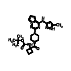 Cc1cc(Nc2nc(N3CCN(C(=O)C4(NC(=O)OC(C)(C)C)CCC4)CC3)nn3cccc23)n[nH]1